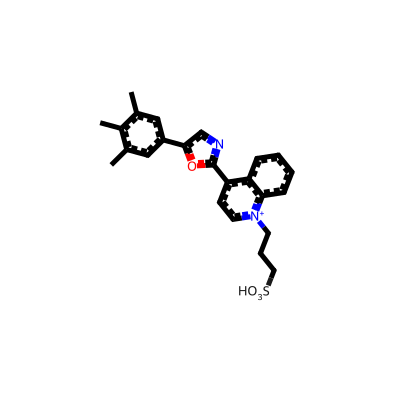 Cc1cc(-c2cnc(-c3cc[n+](CCCS(=O)(=O)O)c4ccccc34)o2)cc(C)c1C